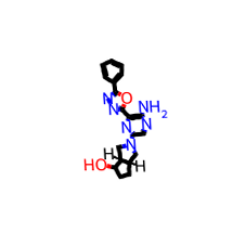 Nc1ncc(N2C[C@@H]3CCC(O)[C@@H]3C2)nc1-c1nnc(-c2ccccc2)o1